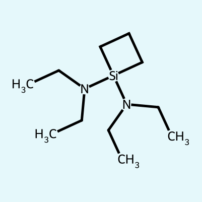 CCN(CC)[Si]1(N(CC)CC)CCC1